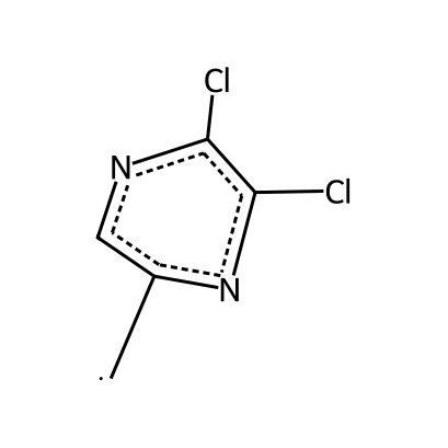 [CH2]c1cnc(Cl)c(Cl)n1